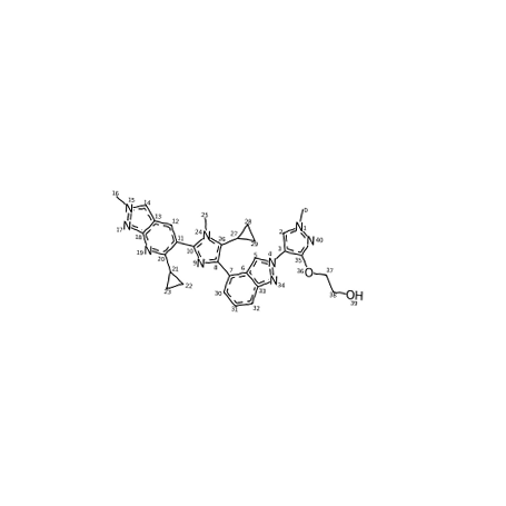 Cn1cc(-n2cc3c(-c4nc(-c5cc6cn(C)nc6nc5C5CC5)n(C)c4C4CC4)cccc3n2)c(OCCO)n1